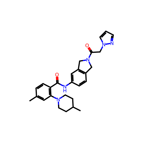 Cc1ccc(C(=O)Nc2ccc3c(c2)CN(C(=O)Cn2cccn2)C3)c(N2CCC(C)CC2)c1